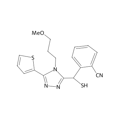 COCCCn1c(-c2cccs2)nnc1C(S)c1ccccc1C#N